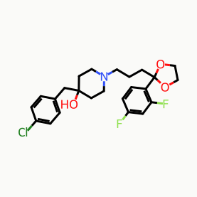 OC1(Cc2ccc(Cl)cc2)CCN(CCCC2(c3ccc(F)cc3F)OCCO2)CC1